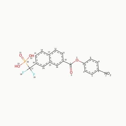 O=C(Oc1ccc([N+](=O)[O-])cc1)c1ccc2ccc(C(F)(F)P(=O)(O)O)cc2c1